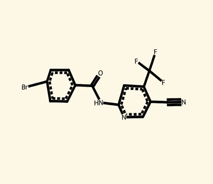 N#Cc1cnc(NC(=O)c2ccc(Br)cc2)cc1C(F)(F)F